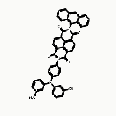 Cc1cccc(N(c2ccc(N3C(=O)c4ccc5c6c(ccc(c46)C3=O)C(=O)N(c3c4ccccc4cc4ccccc34)C5=O)cc2)c2cccc(O)c2)c1